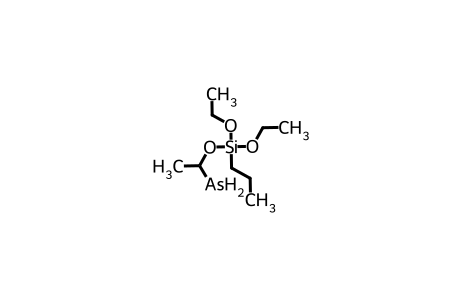 CCC[Si](OCC)(OCC)OC(C)[AsH2]